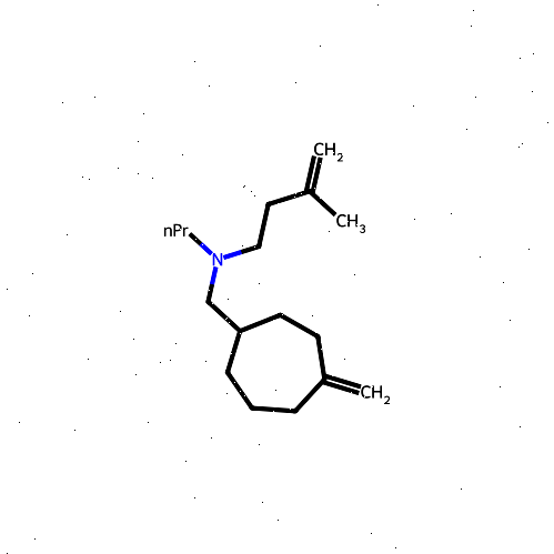 C=C(C)CCN(CCC)CC1CCCC(=C)CC1